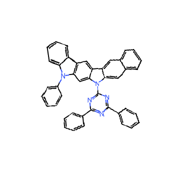 c1ccc(-c2nc(-c3ccccc3)nc(-n3c4cc5ccccc5cc4c4cc5c6ccccc6n(-c6ccccc6)c5cc43)n2)cc1